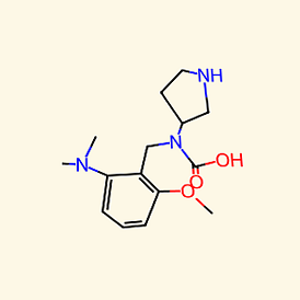 COc1cccc(N(C)C)c1CN(C(=O)O)C1CCNC1